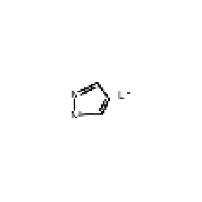 [Li+].c1cn[n-]c1